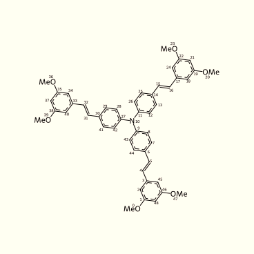 COc1cc(C=Cc2ccc(N(c3ccc(C=Cc4cc(OC)cc(OC)c4)cc3)c3ccc(C=Cc4cc(OC)cc(OC)c4)cc3)cc2)cc(OC)c1